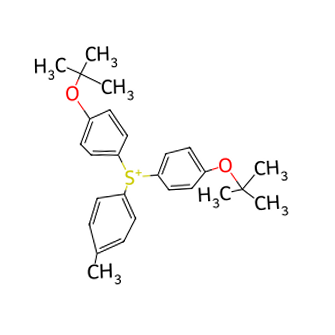 Cc1ccc([S+](c2ccc(OC(C)(C)C)cc2)c2ccc(OC(C)(C)C)cc2)cc1